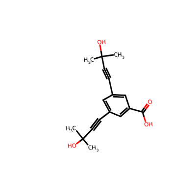 CC(C)(O)C#Cc1cc(C#CC(C)(C)O)cc(C(=O)O)c1